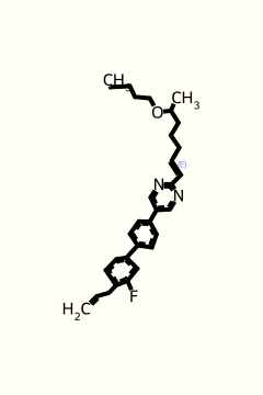 C=CCc1ccc(-c2ccc(-c3cnc(/C=C/CCCC(C)OCCCCC)nc3)cc2)cc1F